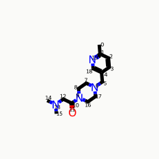 Cc1ccc(CN2CCN(C(=O)CN(C)C)CC2)cn1